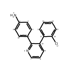 Nc1ccc(-c2ncccc2-c2ccccc2Cl)cc1